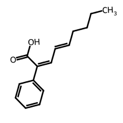 CCCCC=CC=C(C(=O)O)c1ccccc1